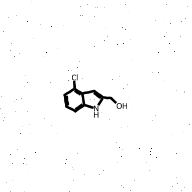 OCc1cc2c(Cl)cccc2[nH]1